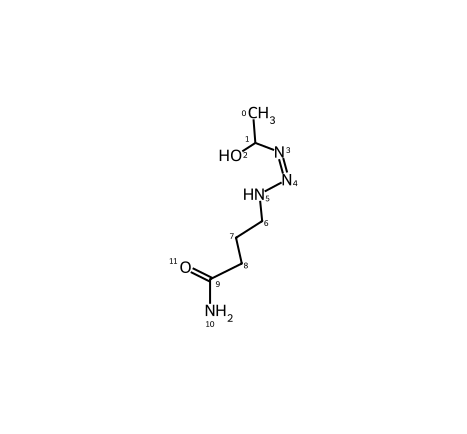 CC(O)/N=N\NCCCC(N)=O